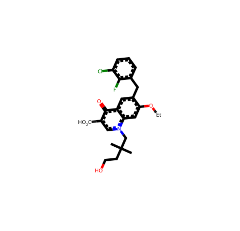 CCOc1cc2c(cc1Cc1cccc(Cl)c1F)c(=O)c(C(=O)O)cn2CC(C)(C)CCO